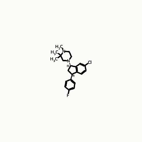 CN1CCN([C@H]2C[C@H](c3ccc(F)cc3)c3ccc(Cl)cc32)CC1(C)C